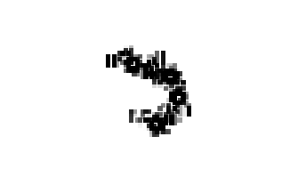 O=C(Nc1ccc(Oc2ccc3[nH]c(NC(=O)c4ccc5[nH]cnc5c4)nc3c2)cc1)Nc1cc(C(F)(F)F)ccc1F